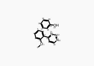 COc1ccccc1-c1ccnnn1.Oc1ccccc1